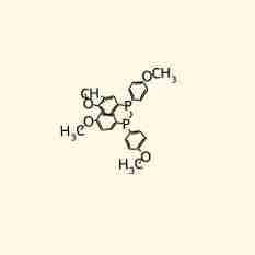 COc1ccc(P(CP(c2ccc(OC)cc2)c2ccc(OC)cc2)c2ccc(OC)cc2)cc1